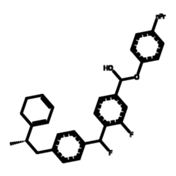 CCCc1ccc(OC(O)c2ccc(C(F)c3ccc(C[C@H](C)C4=CC=CCC4)cc3)c(F)c2)cc1